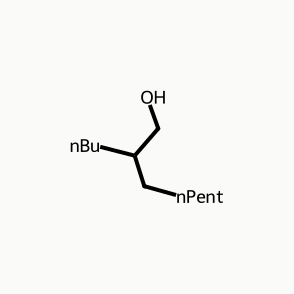 CCCCCCC(CO)CCCC